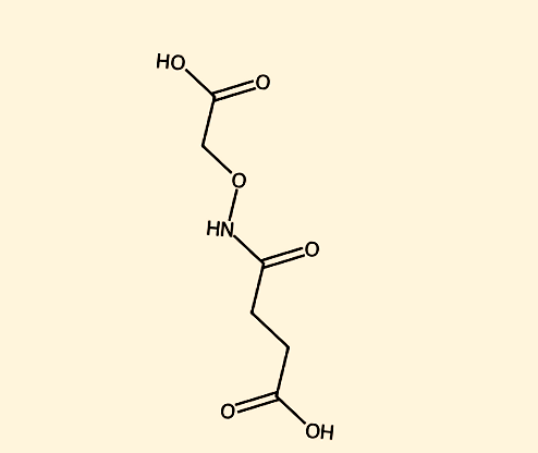 O=C(O)CCC(=O)NOCC(=O)O